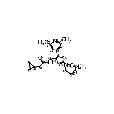 Cc1cc(-c2sc(N3CCO[C@H](C(F)(F)F)C3)nc2CNC(=O)CC2CC2)cc(C)n1